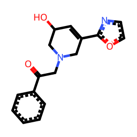 O=C(CN1CC(c2ncco2)=CC(O)C1)c1ccccc1